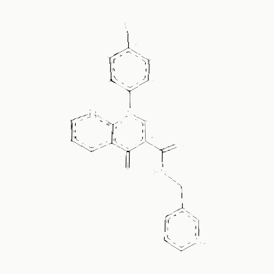 O=C(NCc1cccnc1)c1cn(-c2ccc(F)cc2)c2ncccc2c1=O